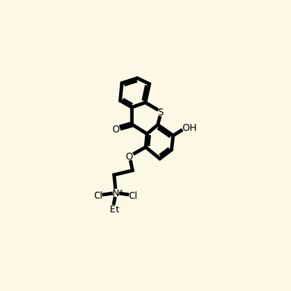 CC[N+](Cl)(Cl)CCOc1ccc(O)c2sc3ccccc3c(=O)c12